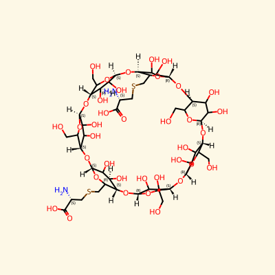 N[C@H](CSCC1O[C@H]2O[C@@H]3C(CO)O[C@H](O[C@@H]4C(CO)O[C@H](O[C@@H]5C(CO)O[C@H](O[C@@H]6C(CSC[C@@H](N)C(=O)O)O[C@H](O[C@@H]7C(CO)O[C@@H](O[C@@H]8C(CO)O[C@@H](O[C@H]1C(O)C2O)C(O)[C@H]8O)C(O)C7O)C(O)[C@H]6O)C(O)C5O)C(O)C4O)C(O)C3O)C(=O)O